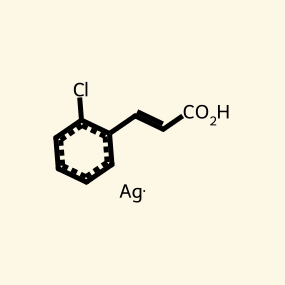 O=C(O)/C=C/c1ccccc1Cl.[Ag]